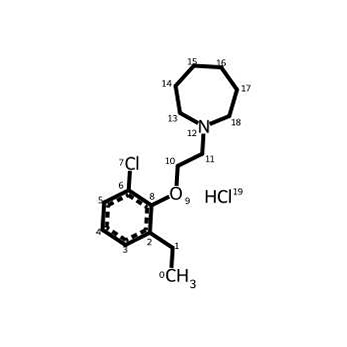 CCc1cccc(Cl)c1OCCN1CCCCCC1.Cl